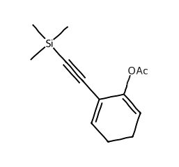 CC(=O)OC1=CCCC=C1C#C[Si](C)(C)C